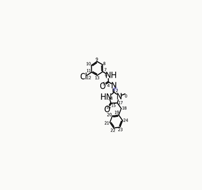 CN1/C(=N/C(=O)Nc2cccc(Cl)c2)NC(=O)C1Cc1ccccc1